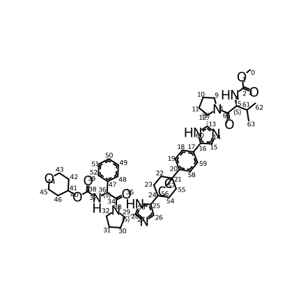 COC(=O)N[C@H](C(=O)N1CCC[C@H]1c1ncc(-c2ccc(C34CCC(c5cnc([C@@H]6CCCN6C(=O)[C@@H](NC(=O)OC6CCOCC6)c6ccccc6)[nH]5)(CC3)CC4)cc2)[nH]1)C(C)C